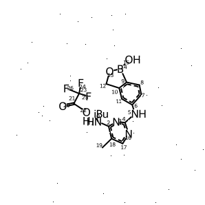 CCC(C)Nc1nc(Nc2ccc3c(c2)COB3O)ncc1C.O=C(O)C(F)(F)F